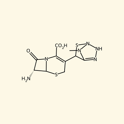 CN1C2=NNN1SC2C1=C(C(=O)O)N2C(=O)[C@@H](N)C2SC1